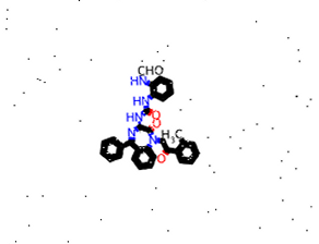 Cc1ccccc1C(=O)CN1C(=O)[C@H](NC(=O)Nc2ccccc2NC=O)N=C(c2ccccc2)c2ccccc21